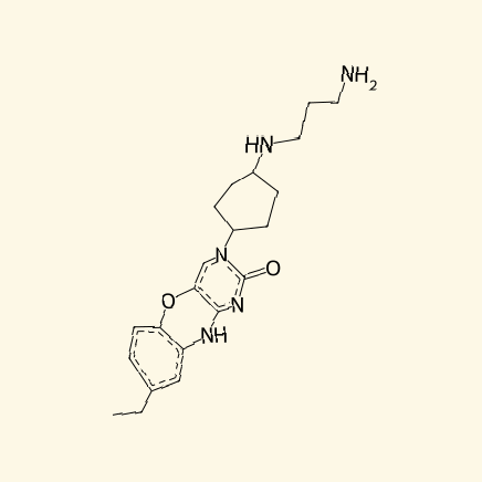 CCc1ccc2c(c1)Nc1nc(=O)n(C3CCC(NCCCN)CC3)cc1O2